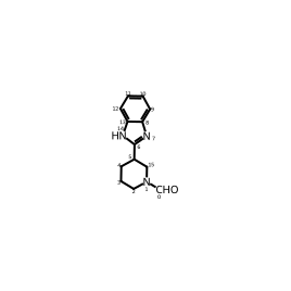 O=CN1CCCC(c2nc3ccccc3[nH]2)C1